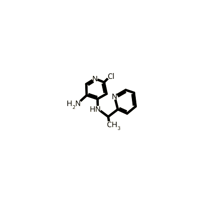 CC(Nc1cc(Cl)ncc1N)c1ccccn1